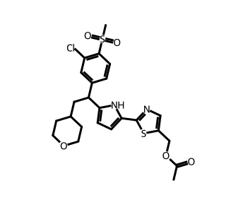 CC(=O)OCc1cnc(-c2ccc(C(CC3CCOCC3)c3ccc(S(C)(=O)=O)c(Cl)c3)[nH]2)s1